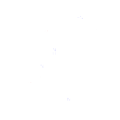 CC1(C)CNc2cc(NC(=O)c3ccccc3NC(=O)c3ccncc3)ccc21